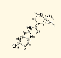 CC1(C)CC(C(=O)Nc2cn3nc(Cl)ccc3n2)CCO1